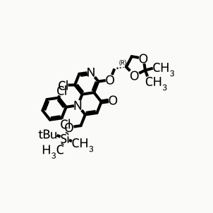 CC1(C)OC[C@@H](COc2ncc(Cl)c3c2c(=O)cc(CO[Si](C)(C)C(C)(C)C)n3-c2c(Cl)cccc2Cl)O1